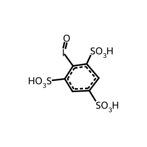 O=Ic1c(S(=O)(=O)O)cc(S(=O)(=O)O)cc1S(=O)(=O)O